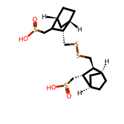 O=S(O)CC1[C@@H]2CC[C@@H](C2)[C@@H]1CSSC[C@H]1[C@H]2CC[C@H](C2)[C@@H]1CS(=O)O